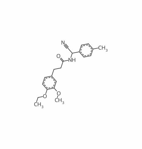 CCOc1ccc(CCC(=O)NC(C#N)c2ccc(C)cc2)cc1OC